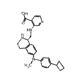 CN(c1ccc(C2CCC2)cc1)c1ccc2c(c1)CCN[C@H]2CNc1cnccc1C(=O)O